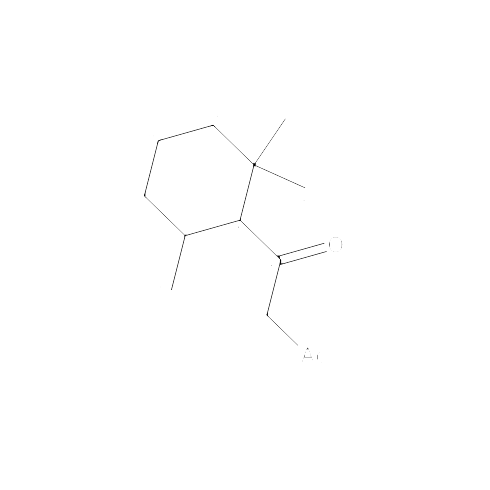 CC(=O)CC(=O)C1C(C)CCCC1(C)C